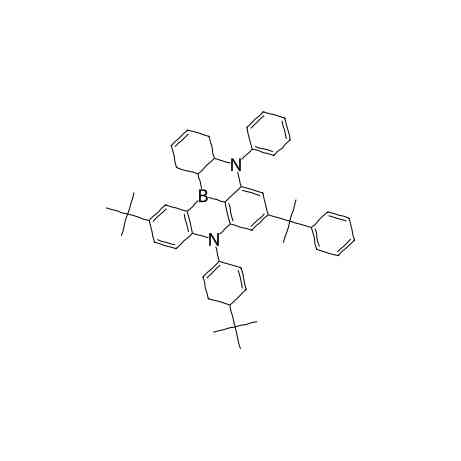 CC(C)(C)c1ccc2c(c1)B1c3c(cc(C(C)(C)c4ccccc4)cc3N(c3ccccc3)C3CC=CCC13)N2C1=CCC(C(C)(C)C)C=C1